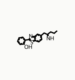 CCCC(=N)Cc1ccc2sc(-c3ccccc3O)nc2c1